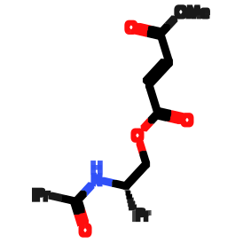 COC(=O)/C=C/C(=O)OC[C@@H](NC(=O)C(C)C)C(C)C